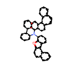 c1ccc(-c2ccccc2N(c2cccc3c2ccc2ccc4ccccc4c23)c2cccc3c2oc2ccc4ccccc4c23)cc1